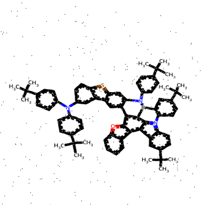 CC(C)(C)c1ccc(N2B3c4cc(C(C)(C)C)ccc4-n4c5ccc(C(C)(C)C)cc5c5c6c(oc7ccccc76)c(c3c54)-c3cc4c(cc32)sc2ccc(N(c3ccc(C(C)(C)C)cc3)c3ccc(C(C)(C)C)cc3)cc24)cc1